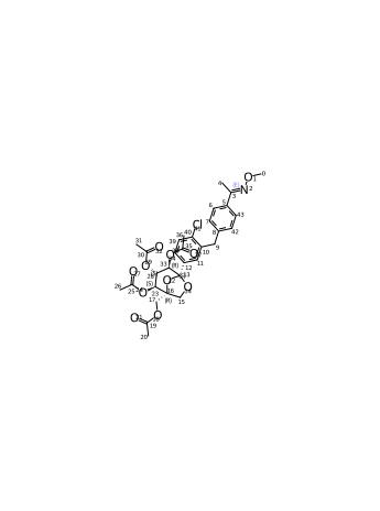 CO/N=C(\C)c1ccc(Cc2cc([C@]34OC[C@](COC(C)=O)(O3)[C@@H](OC(C)=O)[C@H](OC(C)=O)[C@H]4OC(C)=O)ccc2Cl)cc1